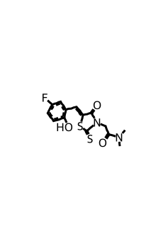 CN(C)C(=O)CN1C(=O)C(=Cc2cc(F)ccc2O)SC1=S